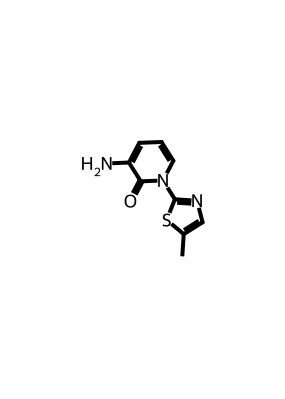 Cc1cnc(-n2cccc(N)c2=O)s1